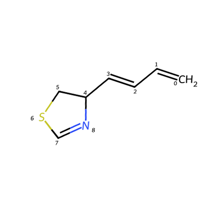 C=CC=CC1CSC=N1